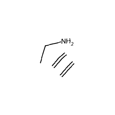 C=C.C=C.CCN